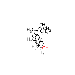 CC(C)C(C)CC[C@@H](C)[C@H]1CC[C@@]2(C)[C@@H]3CC[C@H]4C(C)(C)[C@@H](O)CC[C@]4(C)C3=CC[C@]12C